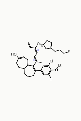 C=C/C(=C\C=C(/C)C1=C(c2cc(F)c(OCC)c(Cl)c2)CCCC2CCC(O)=CC=C12)O[C@H]1CCN(CCCF)C1